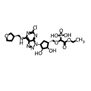 CCOC(=O)C(OC[C@H]1C[C@@H](n2nnc3c(NC[C@H]4CCOC4)nc(Cl)nc32)[C@H](O)[C@@H]1O)P(=O)(O)O